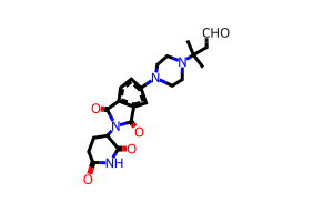 CC(C)(CC=O)N1CCN(c2ccc3c(c2)C(=O)N(C2CCC(=O)NC2=O)C3=O)CC1